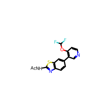 CC(=O)Nc1nc2ccc(-c3cnccc3OC(F)F)cc2s1